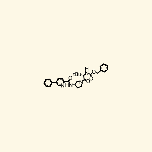 CC(C)(C)[C@H](NC(=O)OCc1ccccc1)C(=O)N1CC[C@@H](NC(=O)c2ccc(-c3ccccc3)cn2)C1